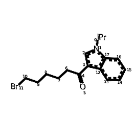 CC(C)n1cc(C(=O)CCCCCBr)c2ccccc21